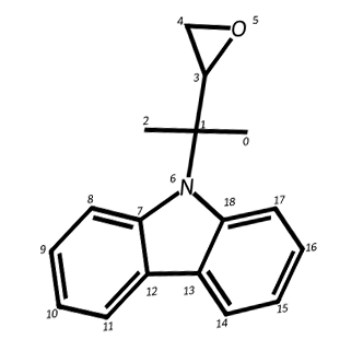 CC(C)(C1CO1)n1c2ccccc2c2ccccc21